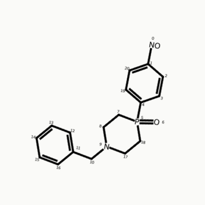 O=Nc1ccc(P2(=O)CCN(Cc3ccccc3)CC2)cc1